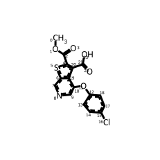 COC(=O)c1sc2cncc(Oc3ccc(Cl)cc3)c2c1C(=O)O